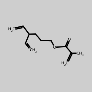 C=CC(C=C)CCCOC(=O)C(=C)C